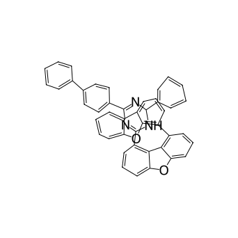 c1ccc(-c2ccc(C3=NC(c4ccccc4)NC(c4cccc5oc6cccc(-c7cccc8c7oc7ccccc78)c6c45)=N3)cc2)cc1